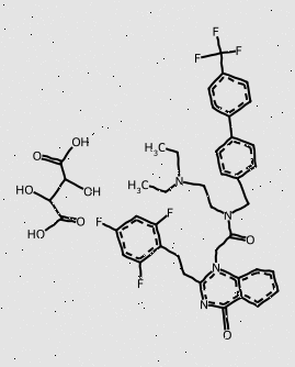 CCN(CC)CCN(Cc1ccc(-c2ccc(C(F)(F)F)cc2)cc1)C(=O)Cn1c(CCc2c(F)cc(F)cc2F)nc(=O)c2ccccc21.O=C(O)C(O)C(O)C(=O)O